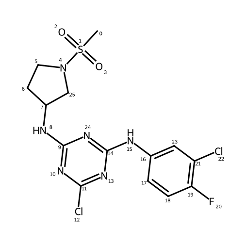 CS(=O)(=O)N1CCC(Nc2nc(Cl)nc(Nc3ccc(F)c(Cl)c3)n2)C1